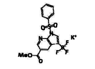 COC(=O)c1cnc2c(c1)c([B-](F)(F)F)cn2S(=O)(=O)c1ccccc1.[K+]